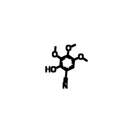 COc1cc(C#N)c(O)c(OC)c1OC